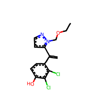 C=C(c1ccc(O)c(Cl)c1Cl)c1ccnn1COCC